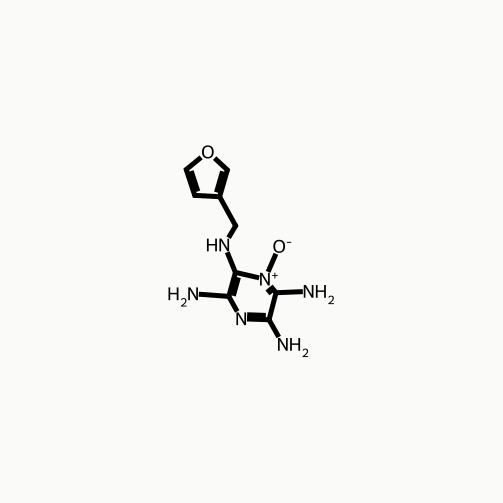 Nc1nc(N)c(NCc2ccoc2)[n+]([O-])c1N